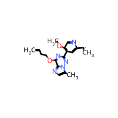 C=CCCOc1nc(-c2cc([CH]C)ncc2OC)nn2c(C)cnc12